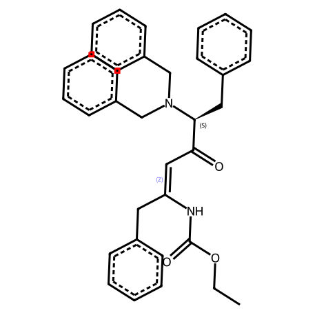 CCOC(=O)N/C(=C\C(=O)[C@H](Cc1ccccc1)N(Cc1ccccc1)Cc1ccccc1)Cc1ccccc1